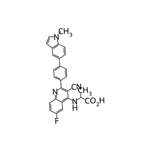 CC(Nc1c(C#N)c(-c2ccc(-c3ccc4c(ccn4C)c3)cc2)nc2ccc(F)cc12)C(=O)O